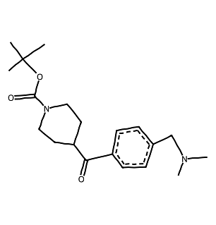 CN(C)Cc1ccc(C(=O)C2CCN(C(=O)OC(C)(C)C)CC2)cc1